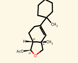 CC(=O)O[C@@H]1OC[C@@]2(C)C=C(C3(C)CCCCC3)CC[C@@H]12